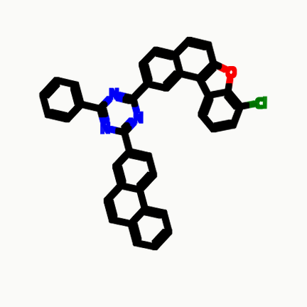 Clc1cccc2c1oc1ccc3ccc(-c4nc(-c5ccccc5)nc(-c5ccc6c(ccc7ccccc76)c5)n4)cc3c12